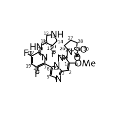 COc1cc2ncc(-c3nc(N[C@H]4CNC[C@@H]4F)c(F)cc3F)n2nc1N1CCCS1(=O)=O